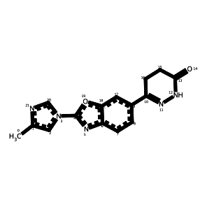 Cc1cn(-c2nc3ccc(C4=NNC(=O)CC4)cc3o2)cn1